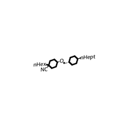 CCCCCCC[C@H]1CC[C@H](CO[C@H]2CC[C@@](C#N)(CCCCCC)CC2)CC1